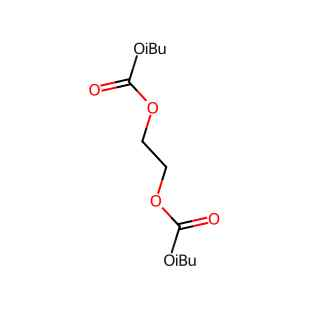 CC(C)COC(=O)OCCOC(=O)OCC(C)C